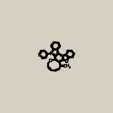 C=C1/C=C\C=C/COc2c1c1oc3ccccc3c1c1c3ccccc3n(-c3ccncc3)c21